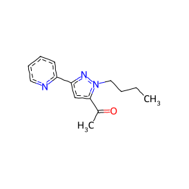 CCCCn1nc(-c2ccccn2)cc1C(C)=O